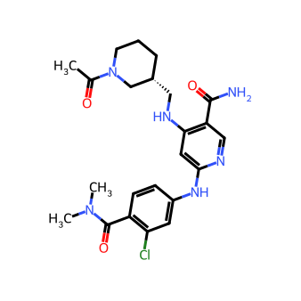 CC(=O)N1CCC[C@H](CNc2cc(Nc3ccc(C(=O)N(C)C)c(Cl)c3)ncc2C(N)=O)C1